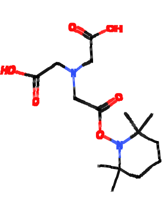 CC1(C)CCCC(C)(C)N1OC(=O)CN(CC(=O)O)CC(=O)O